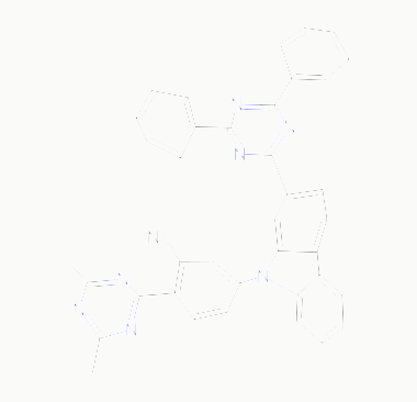 Cc1nc(C)nc(-c2ccc(-n3c4ccccc4c4ccc(-c5nc(-c6ccccc6)nc(-c6ccccc6)n5)cc43)cc2C#N)n1